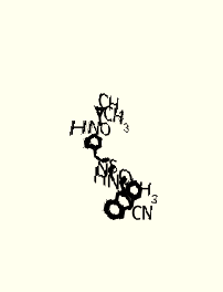 CC1(C)CC1C(=O)Nc1ccc(Cc2csc(NC(=O)C3(C)CC4(C#N)c5ccccc5C3c3ccccc34)n2)cc1